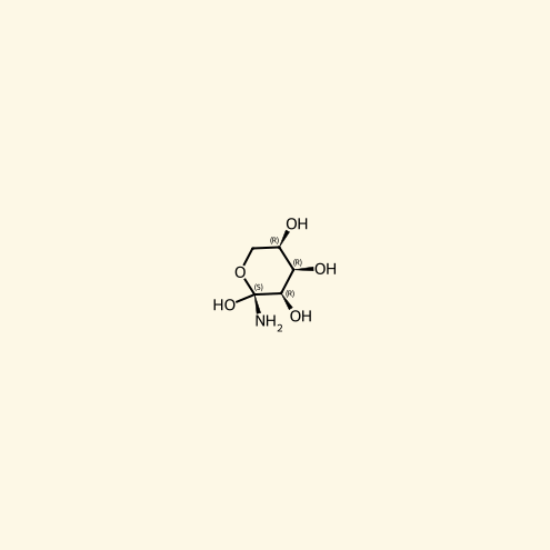 N[C@@]1(O)OC[C@@H](O)[C@@H](O)[C@H]1O